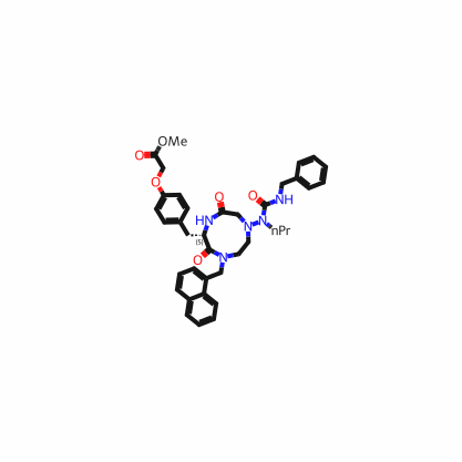 CCCN(C(=O)NCc1ccccc1)N1CCN(Cc2cccc3ccccc23)C(=O)[C@H](Cc2ccc(OCC(=O)OC)cc2)NC(=O)C1